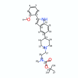 COc1ccccc1-c1cc2cc(C3CCN(CCN(C)C(=O)OC(C)(C)C)CC3)ccc2[nH]1